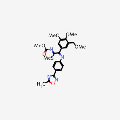 COCc1cc(C(=Nc2ccc(-c3noc(C)n3)cc2)C(=NC(=O)OC)SC)cc(OC)c1OC